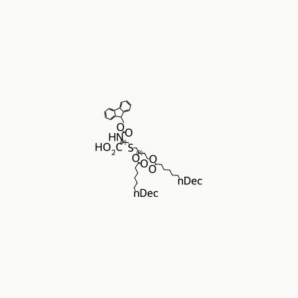 CCCCCCCCCCCCCCCC(=O)OCC[C@H](CSC[C@H](NC(=O)OCC1c2ccccc2-c2ccccc21)C(=O)O)OC(=O)CCCCCCCCCCCCCCC